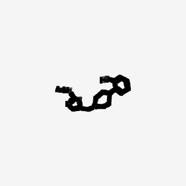 CC(=O)Nc1ncc(CN2CCC(c3ccccc3O)CC2)s1